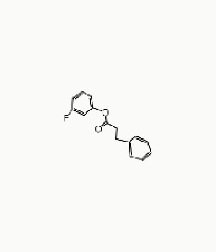 O=C(CCc1ccccc1)Oc1cccc(F)c1